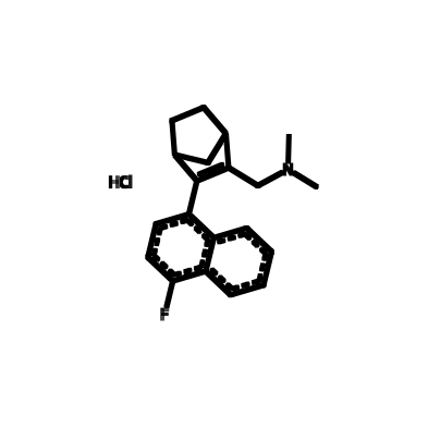 CN(C)CC1=C(c2ccc(F)c3ccccc23)C2CCC1C2.Cl